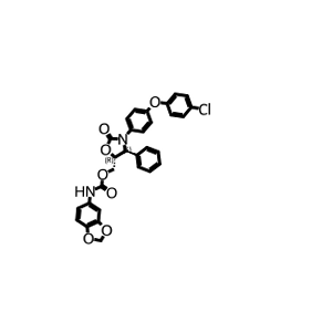 O=C(Nc1ccc2c(c1)OCO2)OC[C@@H]1OC(=O)N(c2ccc(Oc3ccc(Cl)cc3)cc2)[C@H]1c1ccccc1